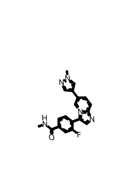 CNC(=O)c1ccc(-c2cnc3ccc(-c4cnn(C)c4)cn23)c(F)c1